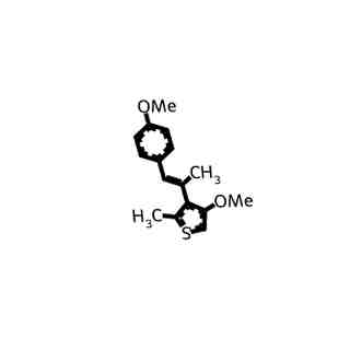 COc1ccc(C=C(C)c2c(OC)csc2C)cc1